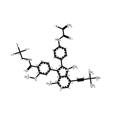 C=C(F)C(=O)Nc1ccc(-c2c(-c3ccc(C(=O)NCC(F)(F)F)c(OC)c3)c3c(N)ncc(C#CC(C)(C)O)c3n2C)cc1